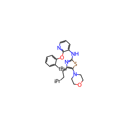 CC(C)CCc1nc(Nc2cccnc2Oc2ccccc2C(C)(C)C)sc1N1CCOCC1